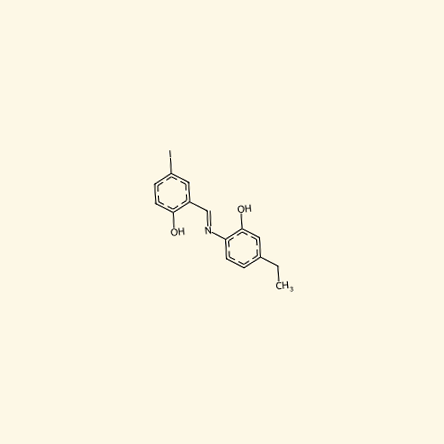 CCc1ccc(/N=C/c2cc(I)ccc2O)c(O)c1